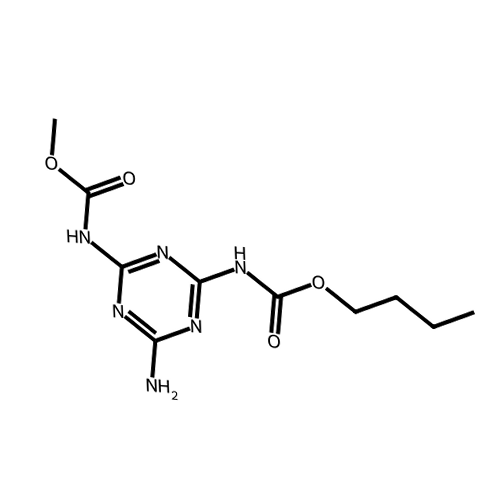 CCCCOC(=O)Nc1nc(N)nc(NC(=O)OC)n1